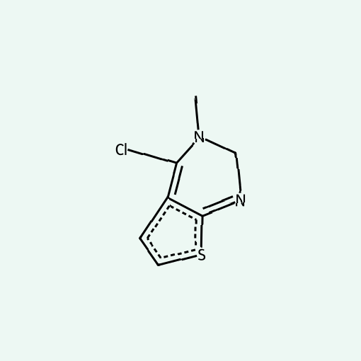 CN1CN=c2sccc2=C1Cl